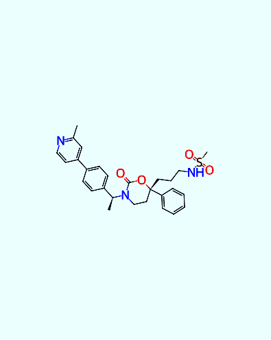 Cc1cc(-c2ccc([C@H](C)N3CC[C@@](CCCNS(C)(=O)=O)(c4ccccc4)OC3=O)cc2)ccn1